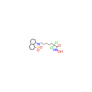 O=C(NO)C(Cl)(Cl)CCCCCN1c2cccc3cccc(c23)S1(=O)=O